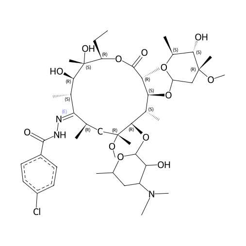 CC[C@H]1OC(=O)[C@H](C)[C@@H](OC2C[C@@](C)(OC)[C@@H](O)[C@H](C)O2)[C@H](C)[C@@H](OC2OC(C)CC(N(C)C)C2O)[C@](C)(OC)C[C@@H](C)/C(=N\NC(=O)c2ccc(Cl)cc2)[C@H](C)[C@@H](O)[C@]1(C)O